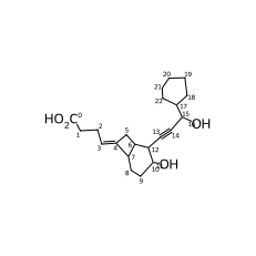 O=C(O)CCC=C1CC2C1CCC(O)C2C#CC(O)C1CCCCC1